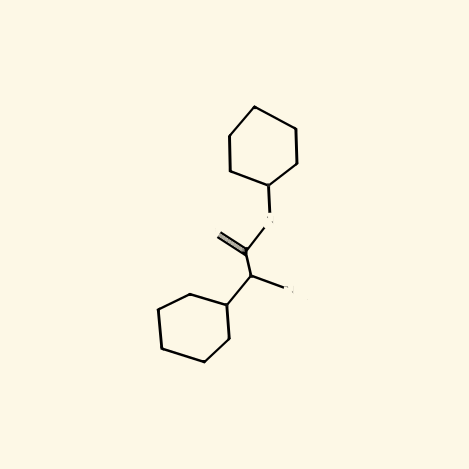 NC(C(=O)NC1CCCCC1)C1CCCCC1